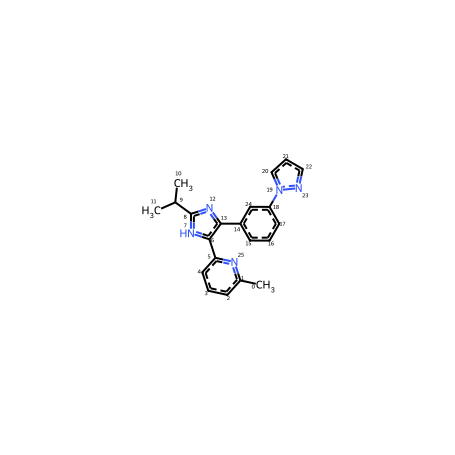 Cc1cccc(-c2[nH]c(C(C)C)nc2-c2cccc(-n3cccn3)c2)n1